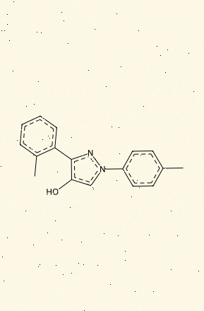 Cc1ccc(-n2cc(O)c(-c3ccccc3C)n2)cc1